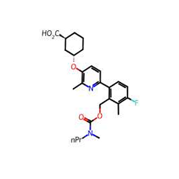 CCCN(C)C(=O)OCc1c(-c2ccc(O[C@H]3CCC[C@H](C(=O)O)C3)c(C)n2)ccc(F)c1C